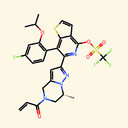 C=CC(=O)N1Cc2cc(-c3nc(OS(=O)(=O)C(F)(F)F)c4ccsc4c3-c3ccc(F)cc3OC(C)C)nn2[C@H](C)C1